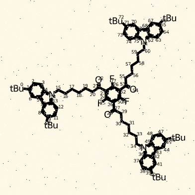 CC(C)(C)c1ccc2c(c1)c1cc(C(C)(C)C)ccc1n2CCCCCCC(=O)c1c(F)c(C(=O)CCCCCCn2c3ccc(C(C)(C)C)cc3c3cc(C(C)(C)C)ccc32)c(F)c(C(=O)CCCCCCn2c3ccc(C(C)(C)C)cc3c3cc(C(C)(C)C)ccc32)c1F